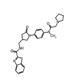 CN(C(=O)CN1CCCC1)c1ccc(N2CC(CNC(=O)c3nc4ccccc4s3)CC2=O)cc1